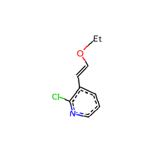 CCOC=Cc1cccnc1Cl